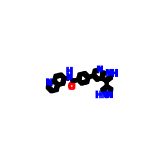 O=C(Nc1ccc2ncccc2c1)c1ccc(-c2cnc3[nH]cc(-c4cn[nH]c4)c3c2)cc1